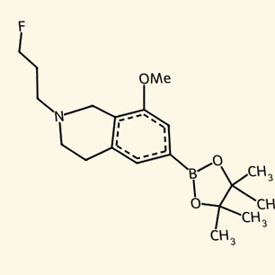 COc1cc(B2OC(C)(C)C(C)(C)O2)cc2c1CN(CCCF)CC2